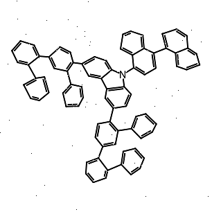 c1ccc(-c2ccccc2-c2ccc(-c3ccc4c(c3)c3cc(-c5ccc(-c6ccccc6-c6ccccc6)cc5-c5ccccc5)ccc3n4-c3ccc(-c4cccc5ccccc45)c4ccccc34)c(-c3ccccc3)c2)cc1